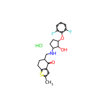 Cc1cc2c(s1)CCC(CNC1CCC(Oc3c(F)cccc3F)C1O)C2=O.Cl